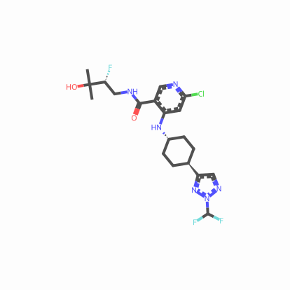 CC(C)(O)[C@H](F)CNC(=O)c1cnc(Cl)cc1N[C@H]1CC[C@H](c2cnn(C(F)F)n2)CC1